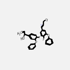 C=CC(O)c1ccc(F)c(Oc2ccccc2)c1.Fc1ccc(/C=C/CCl)cc1Oc1ccccc1